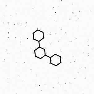 [CH]1CCC(C2CCCC(C3[CH]CCCC3)C2)CC1